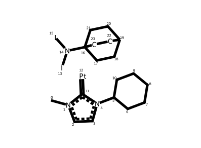 Cn1ccn(C2CCCCC2)[c]1=[Pt].IN(I)C12CCC(CC1)CC2